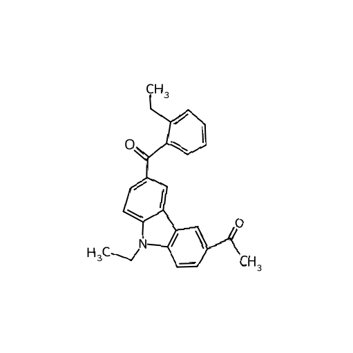 CCc1ccccc1C(=O)c1ccc2c(c1)c1cc(C(C)=O)ccc1n2CC